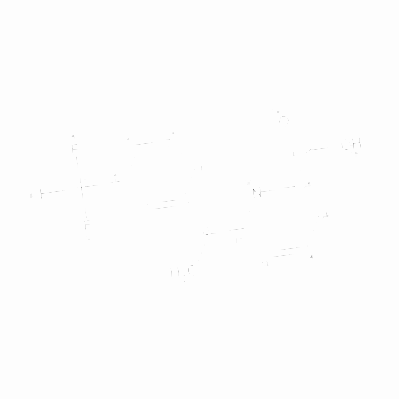 C=C(c1cccc(C(F)(F)F)c1)c1cccc(C(=O)O)n1